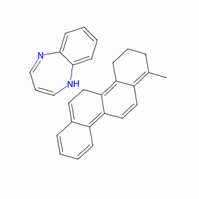 C1=CNc2ccccc2N=C1.CC1=c2ccc3c(c2CCC1)CC=c1ccccc1=3